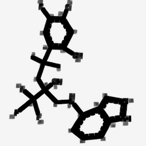 CC(C)(CC(O)(CNc1cccc2[nH]ncc12)C(F)(F)F)c1cc(F)c(Cl)cc1O